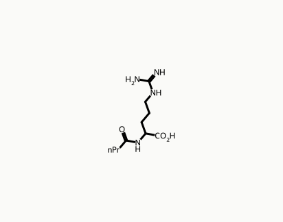 CCCC(=O)NC(CCCNC(=N)N)C(=O)O